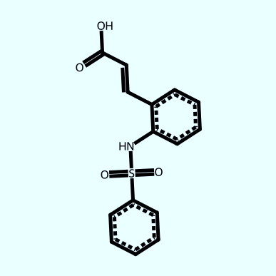 O=C(O)C=Cc1ccccc1NS(=O)(=O)c1ccccc1